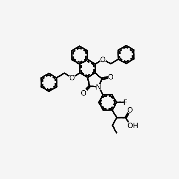 CCC(C(=O)O)c1ccc(N2C(=O)c3c(c(OCc4ccccc4)c4ccccc4c3OCc3ccccc3)C2=O)cc1F